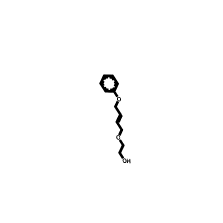 OCCOCC=CCOc1ccccc1